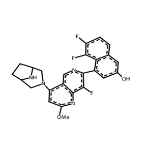 COc1cc(N2CC3CCC(C2)N3)c2cnc(-c3cc(O)cc4ccc(F)c(F)c34)c(F)c2n1